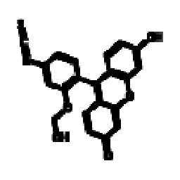 O=c1ccc2c(-c3ccc(N=C=S)cc3OCO)c3ccc(O)cc3oc-2c1